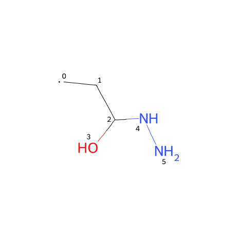 [CH2]CC(O)NN